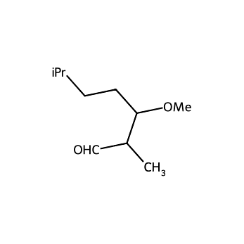 COC(CCC(C)C)C(C)C=O